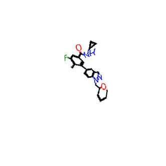 Cc1c(F)cc(C(=O)NC2CC2)cc1-c1ccc2c(cnn2CC2CCCCO2)c1